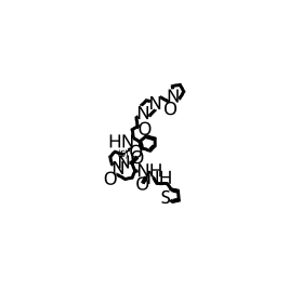 O=C(CC(NC(=O)[C@@H]1CCCN2C(=O)CCC(NC(=O)NCCc3cccs3)C(=O)N12)c1ccccc1)CN1CCN(CC(=O)N2CCCC2)CC1